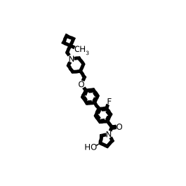 CC1(CN2CCC(COc3ccc(-c4ccc(C(=O)N5CC[C@H](O)C5)cc4F)cc3)CC2)CCC1